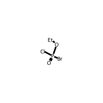 CCOP(=O)(Cl)Br